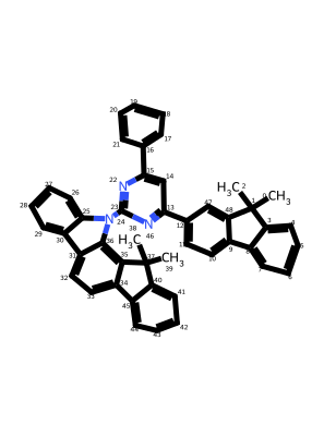 CC1(C)c2ccccc2-c2ccc(-c3cc(-c4ccccc4)nc(-n4c5ccccc5c5ccc6c(c54)C(C)(C)c4ccccc4-6)n3)cc21